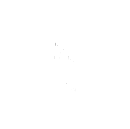 CN(CC(=O)Nc1cc2cc(-c3cncn3C)ccc2cn1)C1CCC1